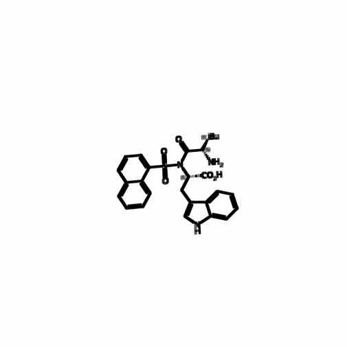 CC[C@H](C)[C@H](N)C(=O)N([C@@H](Cc1c[nH]c2ccccc12)C(=O)O)S(=O)(=O)c1cccc2ccccc12